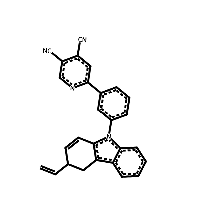 C=CC1C=Cc2c(c3ccccc3n2-c2cccc(-c3cc(C#N)c(C#N)cn3)c2)C1